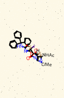 CON1C2=C(C(=O)Oc3nc(NC(c4ccccc4)(c4ccccc4)c4ccccc4)cs3)C1(NC(C)=O)S[C@H]1C(CI)C(=O)N21